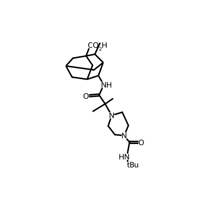 CC1C2CC3CC(CC1(C(=O)O)C3)C2NC(=O)C(C)(C)N1CCN(C(=O)NC(C)(C)C)CC1